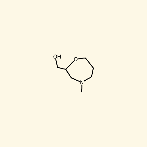 CN1CCCOC(CO)C1